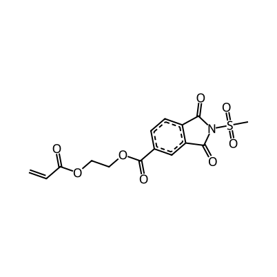 C=CC(=O)OCCOC(=O)c1ccc2c(c1)C(=O)N(S(C)(=O)=O)C2=O